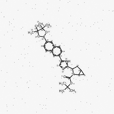 CC(C)(C)OC(=O)N1C(c2ncc(-c3ccc4cc(B5OC(C)(C)C(C)(C)O5)ccc4c3)[nH]2)CC2CC21